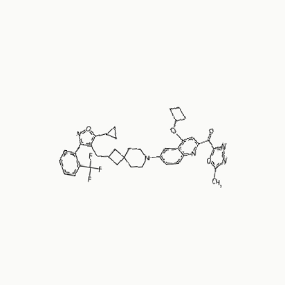 Cc1nnc(C(=O)c2cc(OC3CCC3)c3cc(N4CCC5(CC4)CC(Cc4c(-c6ccccc6C(F)(F)F)noc4C4CC4)C5)ccc3n2)o1